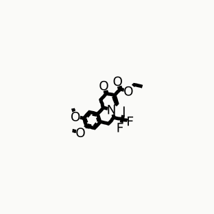 CCOC(=O)C1=CN2C(CC1=O)c1cc(OC)c(OC)cc1CC2C(F)(F)I